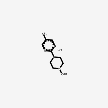 Cl.O=CN1CCN(c2ncc(C(F)(F)F)cn2)CC1